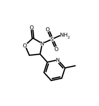 Cc1cccc(C2COC(=O)N2S(N)(=O)=O)n1